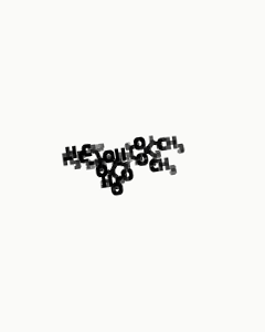 CCC1(CC)OCC([C@@H]2OC(=O)[C@@H]3OC(CC)(CC)O[C@@H]32)O1